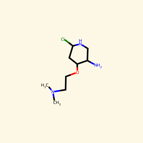 CN(C)CCOC1CC(Cl)NCC1N